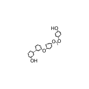 CC(Oc1ccc(O)cc1)Oc1ccc(Oc2cccc(-c3cccc(O)c3)c2)cc1